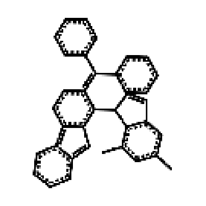 Cc1cc(C)c2c(c1)C=CC2c1c2c(ccc1=C(c1ccccc1)c1ccccc1)=c1ccccc1=[C]2